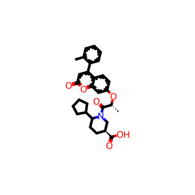 Cc1ccccc1-c1cc(=O)oc2cc(O[C@H](C)C(=O)N3C[C@@H](C(=O)O)CCC3C3CCCC3)ccc12